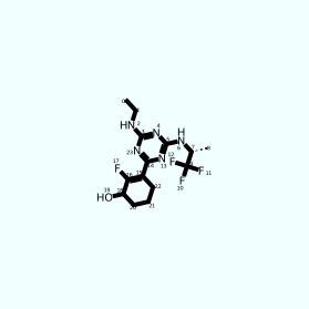 CCNc1nc(N[C@H](C)C(F)(F)F)nc(C2=C(F)C(O)CCC2)n1